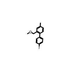 COCc1cc(C)ccc1-c1ccc(I)cc1